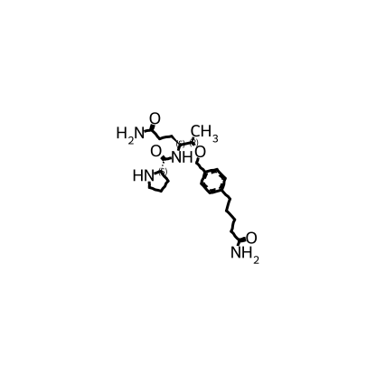 C[C@@H](OCc1ccc(CCCCC(N)=O)cc1)[C@H](CCC(N)=O)NC(=O)[C@@H]1CCCN1